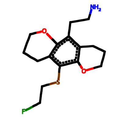 NCCc1c2c(c(SCCF)c3c1OCCC3)OCCC2